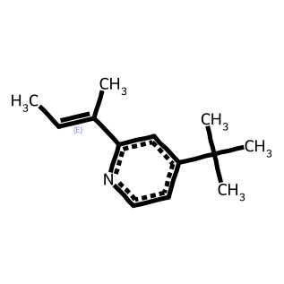 C/C=C(\C)c1cc(C(C)(C)C)ccn1